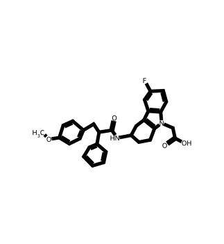 COc1ccc(CC(C(=O)NC2CCc3c(c4cc(F)ccc4n3CC(=O)O)C2)c2ccccc2)cc1